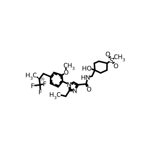 CCc1nc(C(=O)NCC2(O)CCC(S(C)(=O)=O)CC2)cn1-c1ccc(C[C@H](C)C(F)(F)F)cc1OC